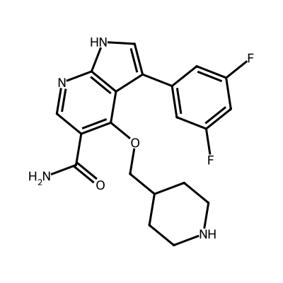 NC(=O)c1cnc2[nH]cc(-c3cc(F)cc(F)c3)c2c1OCC1CCNCC1